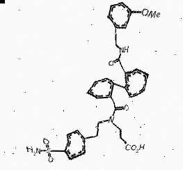 COc1cccc(CNC(=O)c2ccccc2-c2ccccc2C(=O)N(CCC(=O)O)CCc2ccc(S(N)(=O)=O)cc2)c1